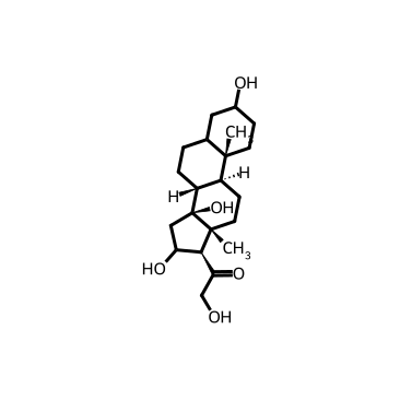 C[C@]12CCC(O)CC1CC[C@@H]1[C@@H]2CC[C@]2(C)[C@@H](C(=O)CO)C(O)C[C@]12O